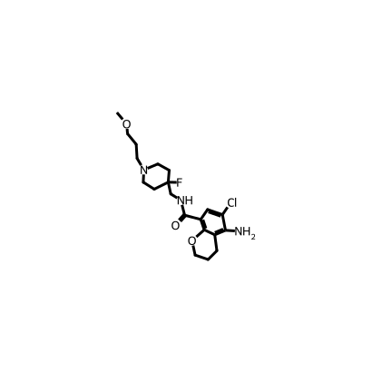 COCCCN1CCC(F)(CNC(=O)c2cc(Cl)c(N)c3c2OCCC3)CC1